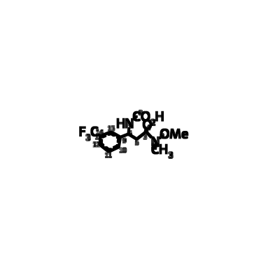 CON(C)C(=O)CC(NC(=O)O)c1cccc(C(F)(F)F)c1